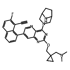 C#Cc1c(F)ccc2cccc(-c3cnc4c(N5CC6CCC(C5)N6)nc(OCC5(CN(C)C)CC5)nc4c3)c12